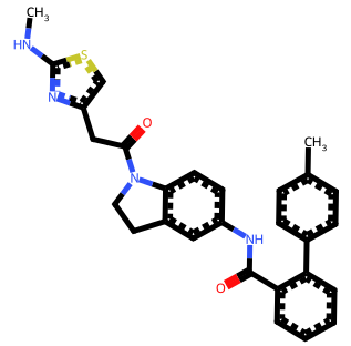 CNc1nc(CC(=O)N2CCc3cc(NC(=O)c4ccccc4-c4ccc(C)cc4)ccc32)cs1